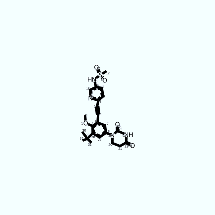 COc1c(C#Cc2ccc(NS(C)(=O)=O)cn2)cc(N2CCC(=O)NC2=O)cc1C(C)(C)C